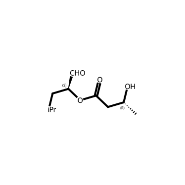 CC(C)C[C@@H](C=O)OC(=O)C[C@@H](C)O